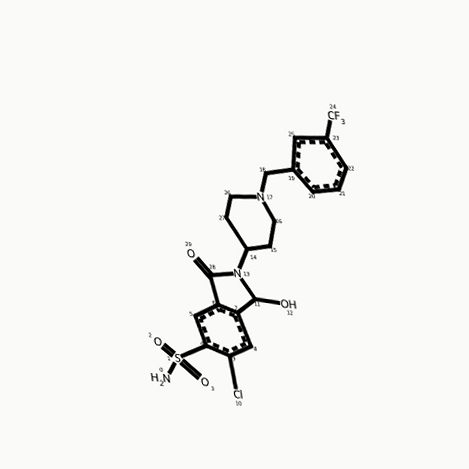 NS(=O)(=O)c1cc2c(cc1Cl)C(O)N(C1CCN(Cc3cccc(C(F)(F)F)c3)CC1)C2=O